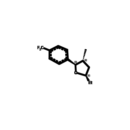 CC[C@@H]1C[C@@H](C)[C@H](c2ccc(C(F)(F)F)cc2)O1